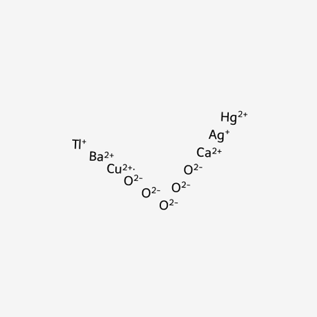 [Ag+].[Ba+2].[Ca+2].[Cu+2].[Hg+2].[O-2].[O-2].[O-2].[O-2].[O-2].[Tl+]